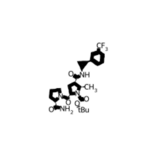 C[C@H]1[C@@H](C(=O)N[C@@H]2C[C@H]2c2cccc(C(F)(F)F)c2)C[C@@H](C(=O)N2CCC[C@H]2C(N)=O)N1C(=O)OC(C)(C)C